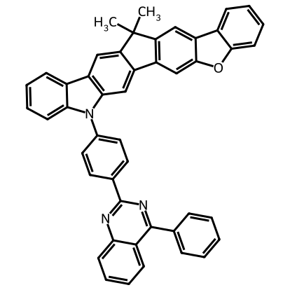 CC1(C)c2cc3c(cc2-c2cc4c(cc21)c1ccccc1n4-c1ccc(-c2nc(-c4ccccc4)c4ccccc4n2)cc1)oc1ccccc13